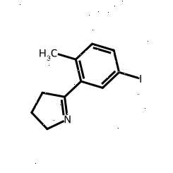 Cc1ccc(I)cc1C1=NCCC1